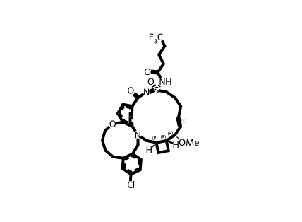 CO[C@H]1/C=C/CCCS(=O)(NC(=O)CCCC(F)(F)F)=NC(=O)c2ccc3c(c2)N(Cc2ccc(Cl)cc2CCCCO3)C[C@@H]2CC[C@H]21